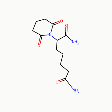 NC(=O)CCCCC(C(N)=O)N1C(=O)CCCC1=O